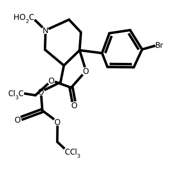 O=C(OCC1CN(C(=O)O)CCC1(OC(=O)OCC(Cl)(Cl)Cl)c1ccc(Br)cc1)OCC(Cl)(Cl)Cl